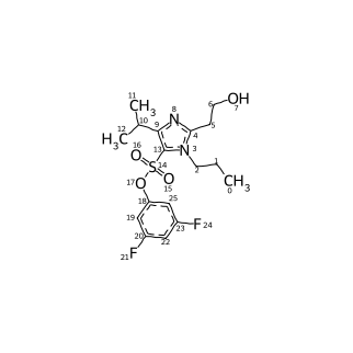 CCCn1c(CCO)nc(C(C)C)c1S(=O)(=O)Oc1cc(F)cc(F)c1